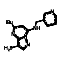 Bc1cnn2c(NCc3cccnc3)cc(C(C)CC)nc12